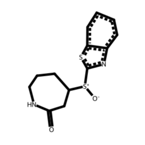 O=C1CC([S+]([O-])c2nc3ccccc3s2)CCCN1